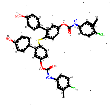 Cc1cc(NC(=O)Oc2ccc(Sc3ccc(OC(=O)Nc4ccc(Cl)c(C)c4)cc3-c3ccc(O)cc3)c(-c3ccc(O)cc3)c2)ccc1Cl